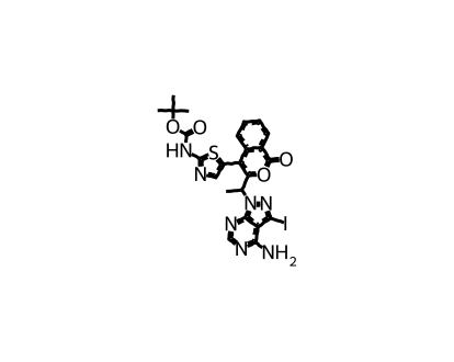 CC(c1oc(=O)c2ccccc2c1-c1cnc(NC(=O)OC(C)(C)C)s1)n1nc(I)c2c(N)ncnc21